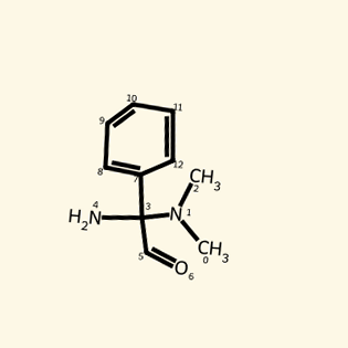 CN(C)C(N)(C=O)c1ccccc1